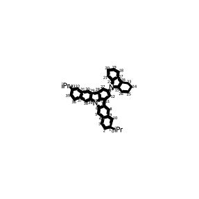 CC(C)c1ccc2cc3c(cc2c1)c1cc(-n2c4c(c5ccccc52)CCC=C4)cc2c4cc5cc(C(C)C)ccc5cc4n3c12